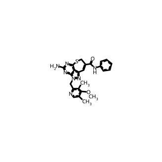 COc1c(C)cnc(Cn2nc3c4c(nc(N)nc42)SCC(C(=O)Nc2ccccc2)=C3)c1C